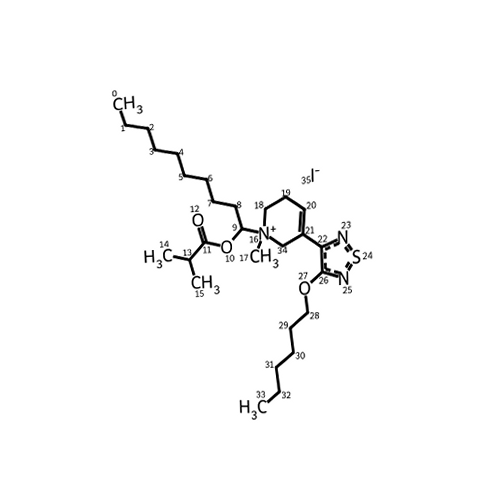 CCCCCCCCCC(OC(=O)C(C)C)[N+]1(C)CCC=C(c2nsnc2OCCCCCC)C1.[I-]